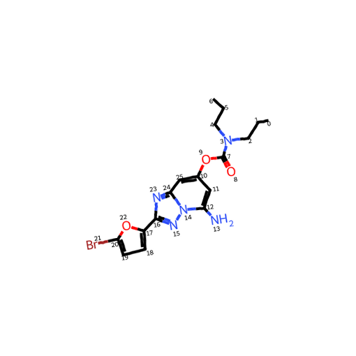 CCCN(CCC)C(=O)Oc1cc(N)n2nc(-c3ccc(Br)o3)nc2c1